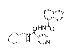 O=C(NCC1CCCCC1)c1ccncc1NC(=O)c1cccc2ccccc12